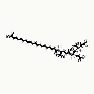 O=C(O)CCCCCCCCCCCCCCCCCCC(=O)N[C@@H](CCC(=O)N[C@@H](CCC(=O)O)C(=O)N[C@@H](CCC(=O)O)C(=O)O)C(=O)O